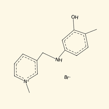 Cc1ccc(NCc2ccc[n+](C)c2)cc1O.[Br-]